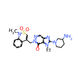 CCn1c(N2CCCC(N)C2)nc2cnn(CC3=CS(=O)(=O)N(C)c4ccccc43)c(=O)c21